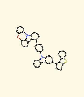 c1ccc2c(c1)Oc1cccc3c4c(-c5ccc(-n6c7ccccc7c7cc(-c8cccc9sc%10ccccc%10c89)ccc76)cc5)cccc4n-2c13